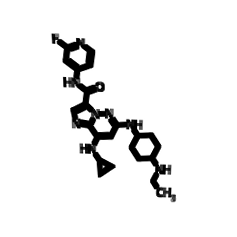 CCNC1CCC(Nc2cc(NC3CC3)c3ncc(C(=O)Nc4ccnc(F)c4)n3n2)CC1